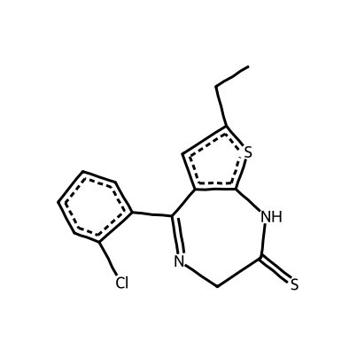 CCc1cc2c(s1)NC(=S)CN=C2c1ccccc1Cl